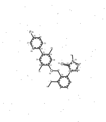 CCc1cccc(-n2nnn(C)c2=O)c1COc1cc(C)c(-c2ccc(F)cn2)cc1C